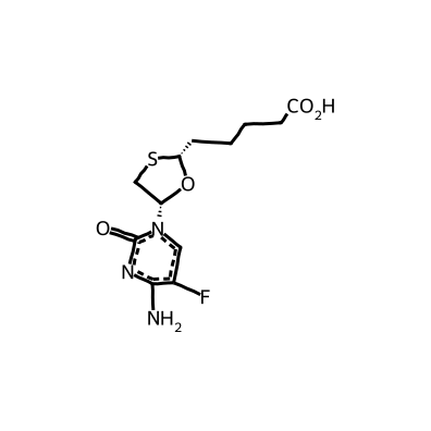 Nc1nc(=O)n([C@@H]2CS[C@H](CCCCC(=O)O)O2)cc1F